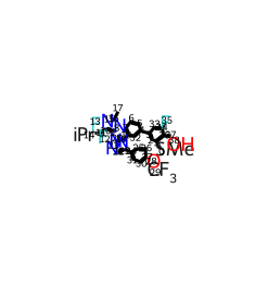 CSc1cc(-c2ccc(-n3cc(C(F)(F)C(C)C)nc3C)c(-n3nncc3-c3ccc(OC(F)(F)F)cc3)c2)cc(F)c1CO